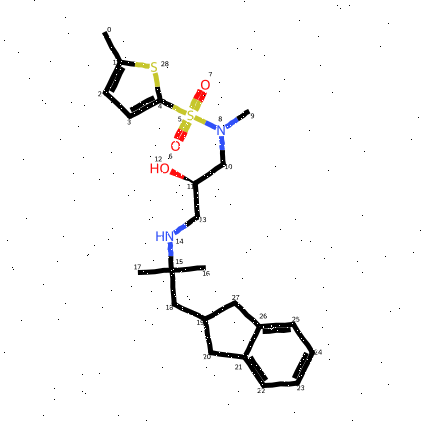 Cc1ccc(S(=O)(=O)N(C)C[C@H](O)CNC(C)(C)CC2Cc3ccccc3C2)s1